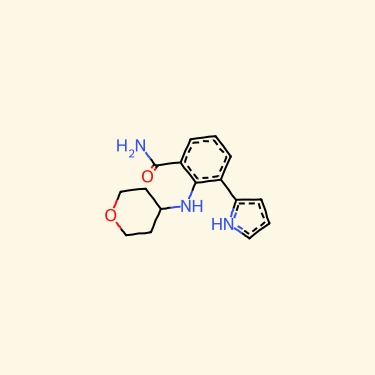 NC(=O)c1cccc(-c2ccc[nH]2)c1NC1CCOCC1